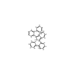 c1ccc(-c2ccccc2-c2sc(-c3cccnc3-c3ccccc3)c3ccccc23)cc1